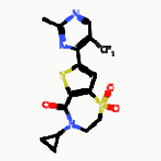 Cc1ncc(C(F)(F)F)c(-c2cc3c(s2)C(=O)N(C2CC2)CCS3(=O)=O)n1